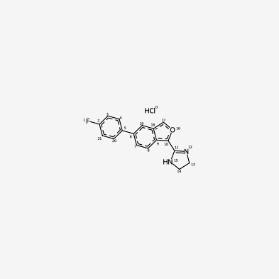 Cl.Fc1ccc(-c2ccc3c(C4=NCCN4)occ3c2)cc1